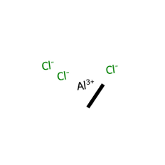 CC.[Al+3].[Cl-].[Cl-].[Cl-]